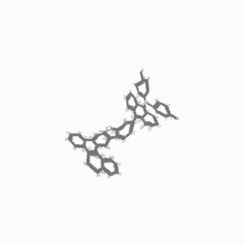 Cc1ccc(N(c2ccc(C)cc2)c2c3ccccc3c(-c3ccc4c(c3)oc3cc5c6ccccc6c6ccc7ccccc7c6c5cc34)c3ccccc23)cc1